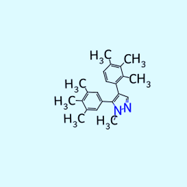 Cc1cc(-c2c(-c3ccc(C)c(C)c3C)cnn2C)cc(C)c1C